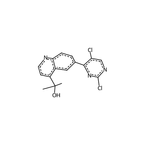 CC(C)(O)c1ccnc2ccc(-c3nc(Cl)ncc3Cl)cc12